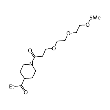 CCC(=O)C1CCN(C(=O)CCOCCOCCOSC)CC1